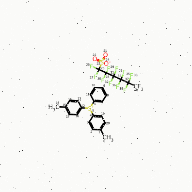 Cc1ccc([S+](c2ccccc2)c2ccc(C)cc2)cc1.O=S(=O)([O-])C(F)(F)C(F)(F)C(F)(F)C(F)(F)C(F)(F)C(F)(F)F